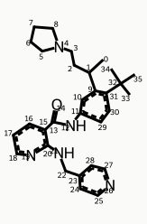 CC(CCN1CCCC1)c1cc(NC(=O)c2cccnc2NCc2ccncc2)ccc1C(C)(C)C